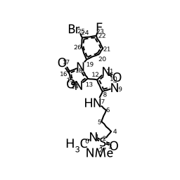 CN=S(=O)(CCCNc1nonc1-c1noc(=O)n1-c1ccc(F)c(Br)c1)NC